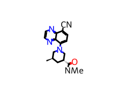 CNC(=O)[C@@H]1C[C@@H](C)CN(c2ccc(C#N)c3nccnc23)C1